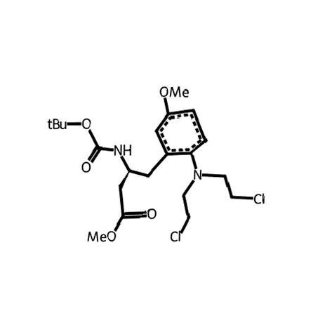 COC(=O)C[C@H](Cc1cc(OC)ccc1N(CCCl)CCCl)NC(=O)OC(C)(C)C